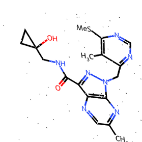 CSc1ncnc(Cn2nc(C(=O)NCC3(O)CC3)c3ncc(C)nc32)c1C